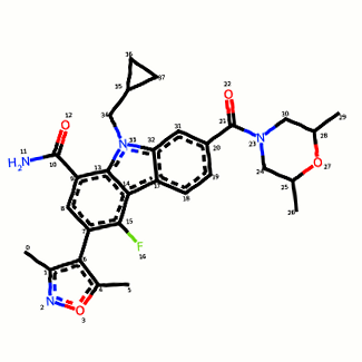 Cc1noc(C)c1-c1cc(C(N)=O)c2c(c1F)c1ccc(C(=O)N3CC(C)OC(C)C3)cc1n2CC1CC1